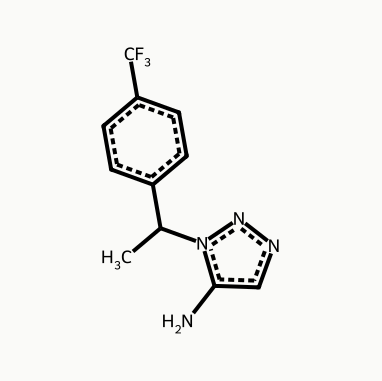 CC(c1ccc(C(F)(F)F)cc1)n1nncc1N